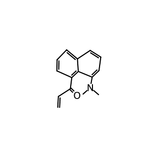 C=CC(=O)c1cccc2cccc(N(C)C)c12